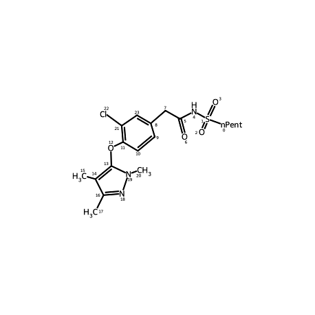 CCCCCS(=O)(=O)NC(=O)Cc1ccc(Oc2c(C)c(C)nn2C)c(Cl)c1